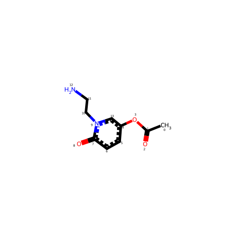 CC(=O)Oc1ccc(=O)n(CCN)c1